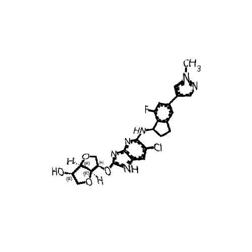 Cn1cc(-c2cc(F)c3c(c2)CCC3Nc2nc3nc(O[C@@H]4CO[C@H]5[C@@H]4OC[C@H]5O)[nH]c3cc2Cl)cn1